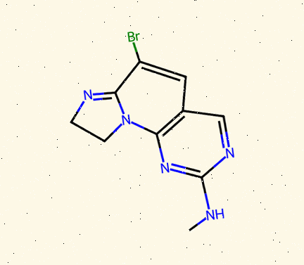 CNc1ncc2c(n1)N1CCN=C1C(Br)=C2